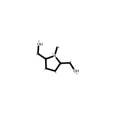 CN1C(CO)CCC1CO